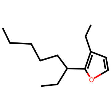 CCCCCC(CC)c1occc1CC